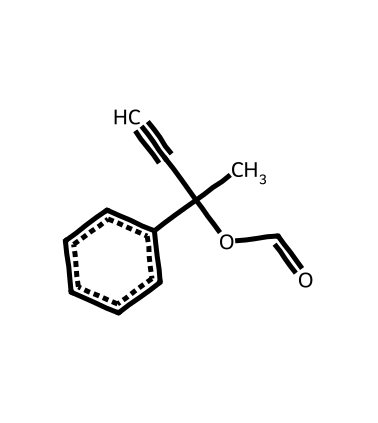 C#CC(C)(OC=O)c1ccccc1